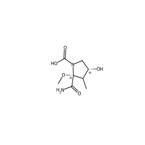 CO[C@@]1(C(N)=O)C(C)[C@@H](O)CN1C(=O)O